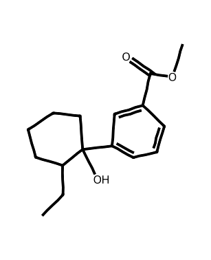 CCC1CCCCC1(O)c1cccc(C(=O)OC)c1